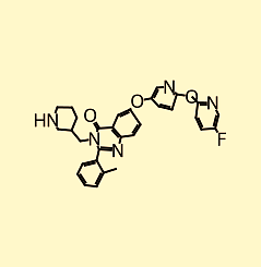 Cc1ccccc1-c1nc2ccc(Oc3ccc(Oc4ccc(F)cn4)nc3)cc2c(=O)n1CC1CCCNC1